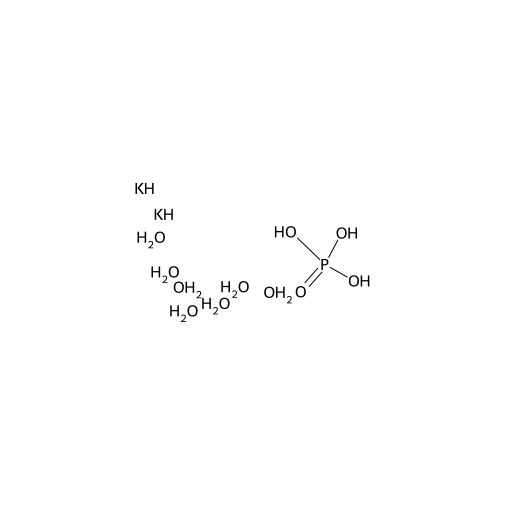 O.O.O.O.O.O.O.O=P(O)(O)O.[KH].[KH]